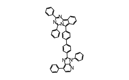 c1ccc(-c2nc(-c3ccccc3)n3c(-c4ccc(-c5ccc(-c6nc7c(-c8ccccc8)ccnc7n6-c6ccccc6)cc5)cc4)c4ccccc4c3n2)cc1